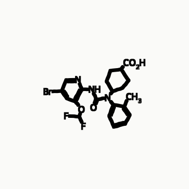 Cc1ccccc1N(C(=O)Nc1ncc(Br)cc1OC(F)F)C1CCC(C(=O)O)CC1